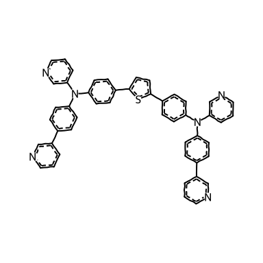 c1cncc(-c2ccc(N(c3ccc(-c4ccc(-c5ccc(N(c6ccc(-c7cccnc7)cc6)c6cccnc6)cc5)s4)cc3)c3cccnc3)cc2)c1